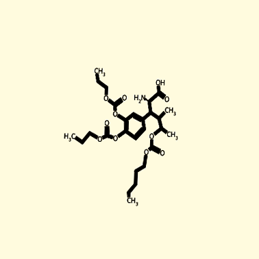 CCCCCOC(=O)OC(C)C(C)C(c1ccc(OC(=O)OCCC)c(OC(=O)OCCC)c1)[C@H](N)C(=O)O